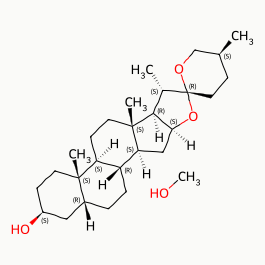 CO.C[C@H]1CC[C@@]2(OC1)O[C@H]1C[C@H]3[C@@H]4CC[C@@H]5C[C@@H](O)CC[C@]5(C)[C@H]4CC[C@]3(C)[C@H]1[C@@H]2C